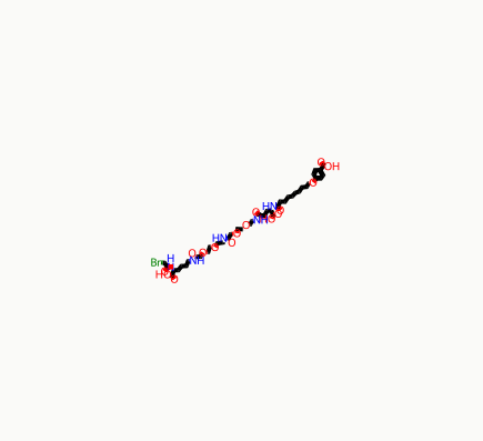 O=C(CCC(NC(=O)CCCCCCCCCOc1ccc(C(=O)O)cc1)C(=O)O)NCCOCCOCC(=O)NCCOCCOCC(=O)NCCCCC(NC(=O)CBr)C(=O)O